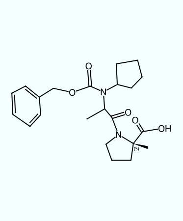 CC(C(=O)N1CCC[C@@]1(C)C(=O)O)N(C(=O)OCc1ccccc1)C1CCCC1